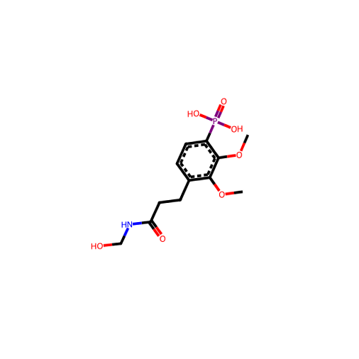 COc1c(CCC(=O)NCO)ccc(P(=O)(O)O)c1OC